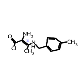 C/C(NCc1ccc(C)cc1)=C(/N)C(=O)Cl